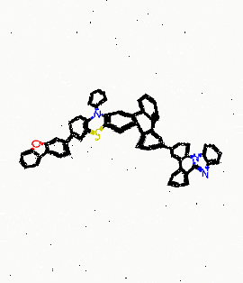 c1ccc(N2c3ccc(-c4ccc5c(c4)oc4ccccc45)cc3Sc3cc4c5ccc(-c6ccc7c(c6)c6ccccc6c6nc8ccccc8n76)cc5c5ccccc5c4cc32)cc1